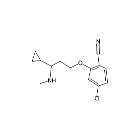 CNC(CCOc1cc(Cl)ccc1C#N)C1CC1